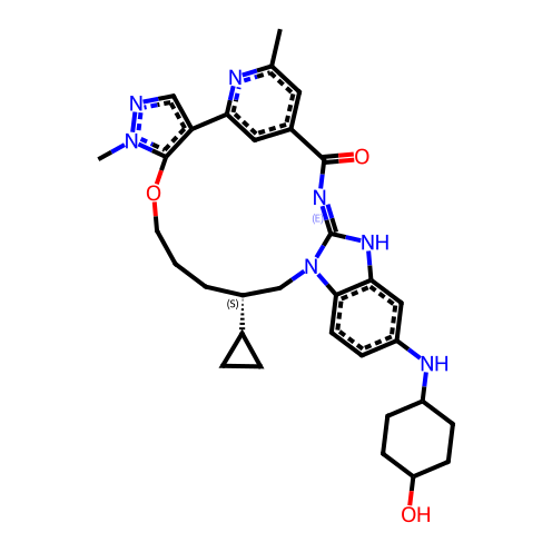 Cc1cc2cc(n1)-c1cnn(C)c1OCCC[C@@H](C1CC1)CN1/C(=N/C2=O)Nc2cc(NC3CCC(O)CC3)ccc21